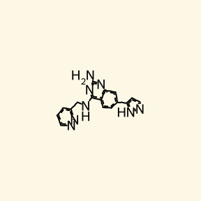 Nc1nc(NCc2cccnn2)c2ccc(-c3ccn[nH]3)cc2n1